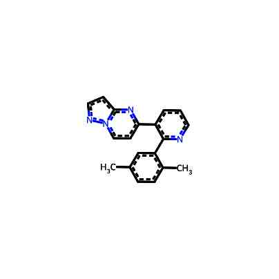 Cc1ccc(C)c(-c2ncccc2-c2ccn3nccc3n2)c1